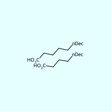 CCCCCCCCCCCCCC(=O)O.CCCCCCCCCCCCCCC(=O)O